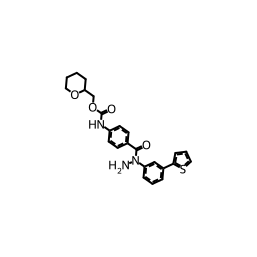 NN(C(=O)c1ccc(NC(=O)OCC2CCCCO2)cc1)c1cccc(-c2cccs2)c1